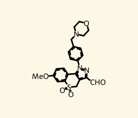 COc1ccc2c(c1)S(=O)(=O)Cc1c(C=O)nn(-c3ccc(CN4CCOCC4)cc3)c1-2